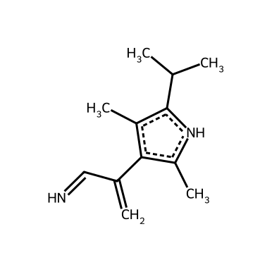 C=C(C=N)c1c(C)[nH]c(C(C)C)c1C